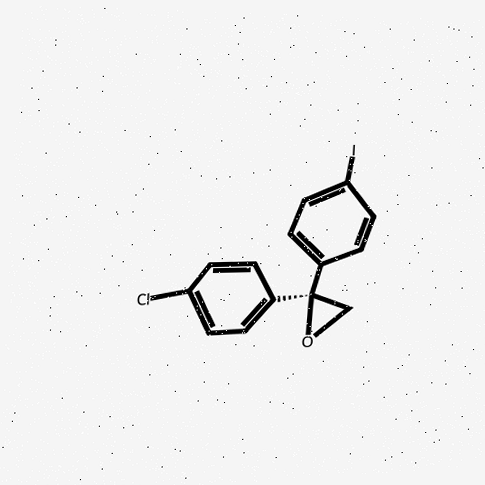 Clc1ccc([C@]2(c3ccc(I)cc3)CO2)cc1